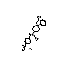 C[C@](O)(c1ccc(C(=O)N(C2CC2)C2CCC(CCO)(c3ccccn3)CC2)cc1)C(F)(F)F